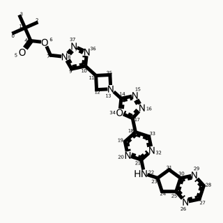 CC(C)(C)C(=O)OCn1cc(C2CN(c3nnc(-c4cnc(NC5Cc6nccnc6C5)nc4)o3)C2)nn1